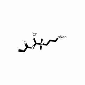 C=CC(=O)OC(C)[N+](C)(C)CCCCCCCCCCCC.[Cl-]